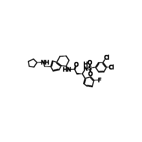 O=C(C[C@@H](NS(=O)(=O)c1ccc(Cl)c(Cl)c1)c1cccc(F)c1)N[C@@H]1CCCc2cc(CNC3CCCC3)ccc21